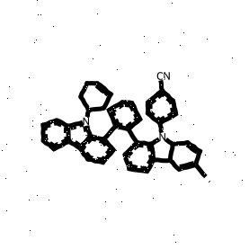 CC1=CC2c3cccc(-c4ccccc4-c4cccc5c6ccccc6n(C6CC=CCC6)c45)c3N(c3ccc(C#N)cc3)C2C=C1